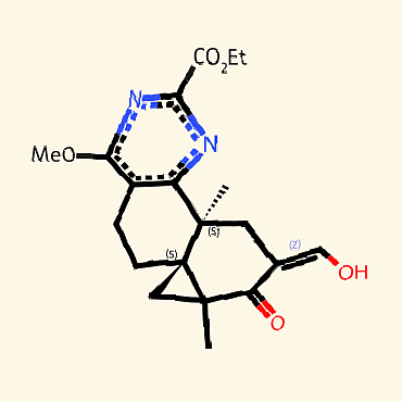 CCOC(=O)c1nc(OC)c2c(n1)[C@@]1(C)C/C(=C/O)C(=O)C3(C)C[C@]31CC2